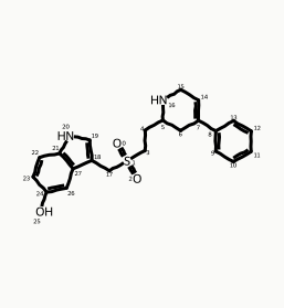 O=S(=O)(CCC1CC(c2ccccc2)=CCN1)Cc1c[nH]c2ccc(O)cc12